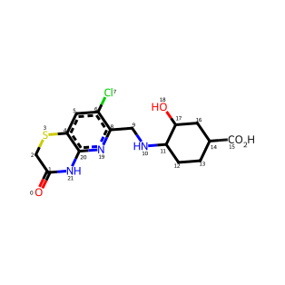 O=C1CSc2cc(Cl)c(CNC3CCC(C(=O)O)CC3O)nc2N1